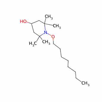 CCCCCCCCON1C(C)(C)CC(O)CC1(C)C